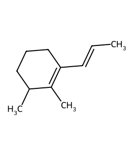 CC=CC1=C(C)C(C)CCC1